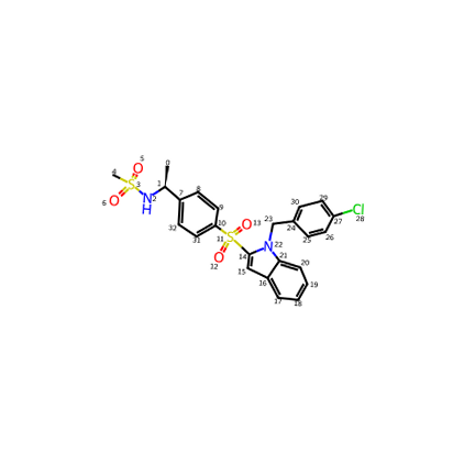 C[C@H](NS(C)(=O)=O)c1ccc(S(=O)(=O)c2cc3ccccc3n2Cc2ccc(Cl)cc2)cc1